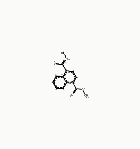 COC(=O)c1ccc(/C(Cl)=N/O)c2ccccc12